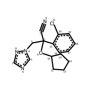 N#CC(Cn1cncn1)(OC1CCCC1)c1ccccc1Cl